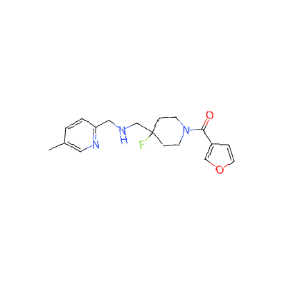 Cc1ccc(CNCC2(F)CCN(C(=O)c3ccoc3)CC2)nc1